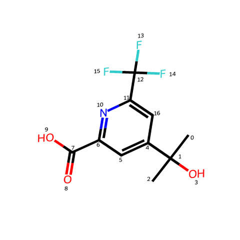 CC(C)(O)c1cc(C(=O)O)nc(C(F)(F)F)c1